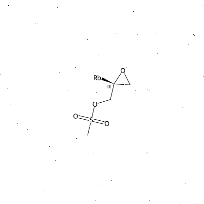 CS(=O)(=O)OC[C@@]1([Rb])CO1